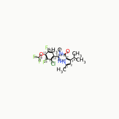 Cc1cc(C(C)C)c2c(=O)n(C)c(-c3cc(F)c(OC(F)F)c(F)c3Cl)nn12